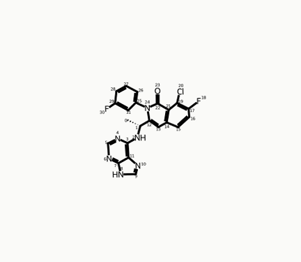 C[C@@H](Nc1ncnc2[nH]cnc12)c1cc2ccc(F)c(Cl)c2c(=O)n1-c1cccc(F)c1